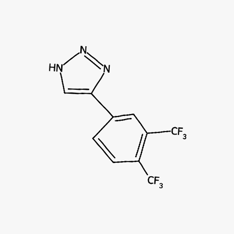 FC(F)(F)c1ccc(-c2c[nH]nn2)cc1C(F)(F)F